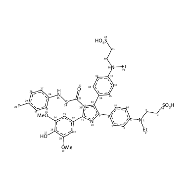 CCN(CCS(=O)(=O)O)c1ccc(-c2nc(-c3cc(OC)c(O)c(OC)c3)n(C(=O)SNc3ccc(F)cc3)c2-c2ccc(N(CC)CCS(=O)(=O)O)cc2)cc1